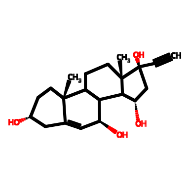 C#C[C@]1(O)C[C@H](O)C2C3C(CC[C@@]21C)[C@@]1(C)CC[C@@H](O)CC1=C[C@@H]3O